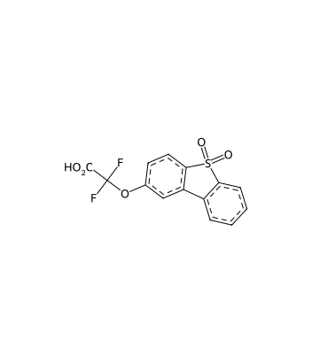 O=C(O)C(F)(F)Oc1ccc2c(c1)-c1ccccc1S2(=O)=O